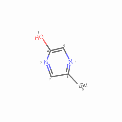 CC(C)(C)c1cnc(O)cn1